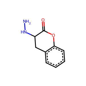 NNC1Cc2ccccc2OC1=O